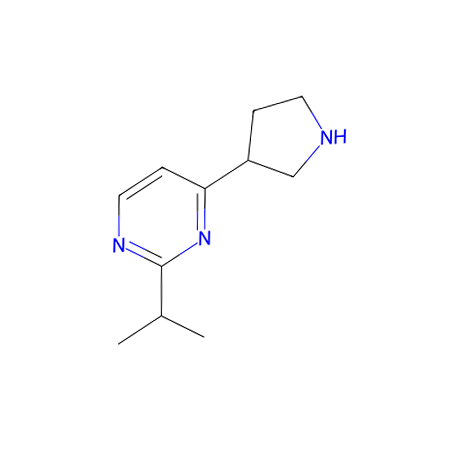 CC(C)c1nccc(C2CCNC2)n1